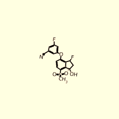 CS(=O)(=O)c1ccc(Oc2cc(F)cc(C#N)c2)c2c1[C@H](O)CC2F